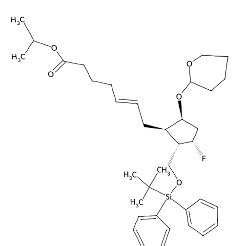 CC(C)OC(=O)CCC/C=C/C[C@@H]1[C@@H](CO[Si](c2ccccc2)(c2ccccc2)C(C)(C)C)[C@@H](F)C[C@@H]1OC1CCCCO1